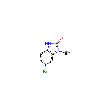 CC(C)n1c(=O)[nH]c2ccc(Br)cc21